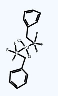 F[P](F)(F)(Cc1ccccc1)[Pd]([Cl])([Cl])[P](F)(F)(F)Cc1ccccc1